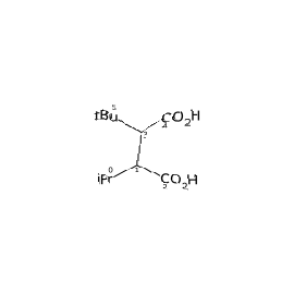 CC(C)C(C(=O)O)C(C(=O)O)C(C)(C)C